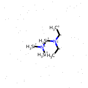 CCN(CC)[SiH2]N([SiH3])[SiH3]